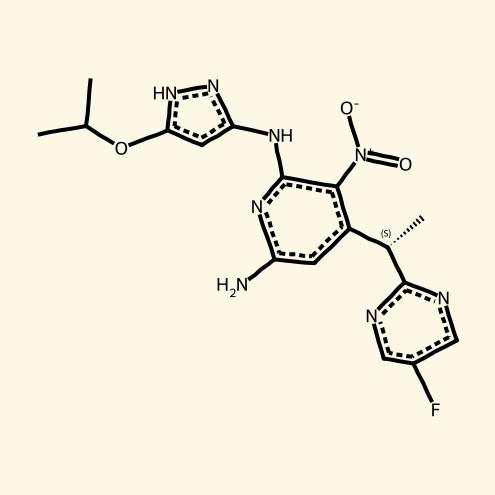 CC(C)Oc1cc(Nc2nc(N)cc([C@H](C)c3ncc(F)cn3)c2[N+](=O)[O-])n[nH]1